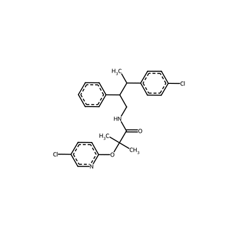 CC(c1ccc(Cl)cc1)C(CNC(=O)C(C)(C)Oc1ccc(Cl)cn1)c1ccccc1